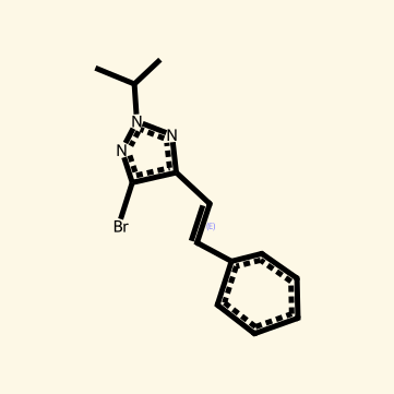 CC(C)n1nc(Br)c(/C=C/c2ccccc2)n1